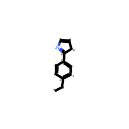 CCc1ccc(C2=NC=CC2)cc1